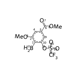 Bc1c(OC)cc(C(=O)OC)cc1OS(=O)(=O)C(F)(F)F